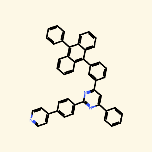 c1ccc(-c2cc(-c3cccc(-c4c5ccccc5c(-c5ccccc5)c5ccccc45)c3)nc(-c3ccc(-c4ccncc4)cc3)n2)cc1